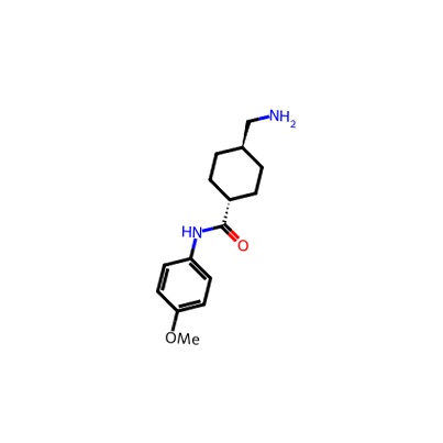 COc1ccc(NC(=O)[C@H]2CC[C@H](CN)CC2)cc1